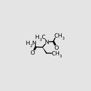 CC[C@@H](C(N)=O)N(C)C(C)=O